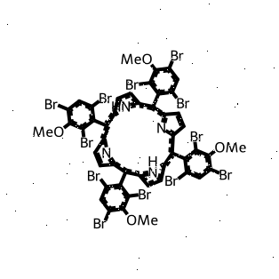 COc1c(Br)cc(Br)c(-c2c3nc(c(-c4c(Br)cc(Br)c(OC)c4Br)c4ccc([nH]4)c(-c4c(Br)cc(Br)c(OC)c4Br)c4nc(c(-c5c(Br)cc(Br)c(OC)c5Br)c5ccc2[nH]5)C=C4)C=C3)c1Br